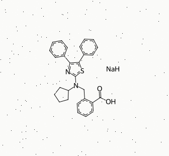 O=C(O)c1ccccc1CN(c1nc(-c2ccccc2)c(-c2ccccc2)s1)C1CCCC1.[NaH]